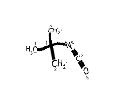 [CH2]C([CH2])(C)N=C=O